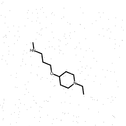 CCN1CCC(OCCCNC)CC1